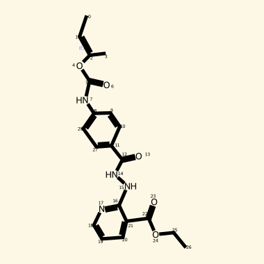 C/C=C(\C)OC(=O)Nc1ccc(C(=O)NNc2ncccc2C(=O)OCC)cc1